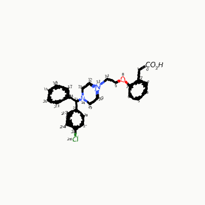 O=C(O)Cc1ccccc1OCCN1CCN(C(c2ccccc2)c2ccc(Cl)cc2)CC1